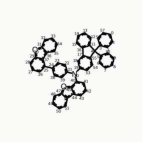 c1ccc(C2(c3ccccc3)c3ccccc3-c3cc(N(c4ccc(-c5cccc6oc7ccccc7c56)cc4)c4cccc5c4oc4ccccc45)ccc32)cc1